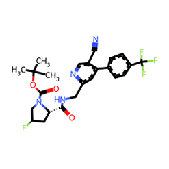 CC(C)(C)OC(=O)N1C[C@H](F)C[C@H]1C(=O)NCc1cc(-c2ccc(C(F)(F)F)cc2)c(C#N)cn1